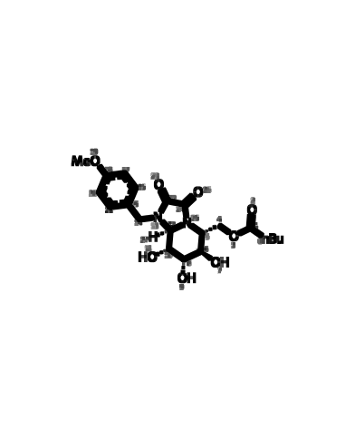 CCCCC(=O)OC[C@@H]1[C@@H](O)[C@H](O)[C@H](O)[C@H]2N(Cc3ccc(OC)cc3)C(=O)C(=O)N12